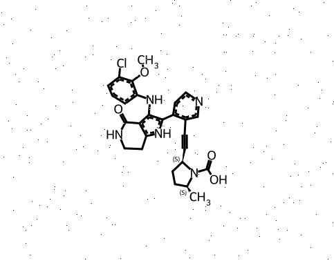 COc1c(Cl)cccc1Nc1c(-c2ccncc2C#C[C@@H]2CC[C@H](C)N2C(=O)O)[nH]c2c1C(=O)NCC2